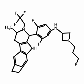 CC1Cc2c([nH]c3cc4c(cc23)CC4)C(c2c(F)cc(NC3CN(CCCF)C3)cc2F)N1CC(F)(F)F